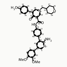 COc1ccc(-c2cnc(N)c(-c3ccc(NC(=O)c4cn(CC5CCOCC5)cc(-c5ccc(C)cc5)c4=O)cc3)c2)cc1OC